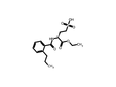 CCCc1ccccc1C(=O)N[C@@H](CCS(=O)(=O)O)C(=O)OCC